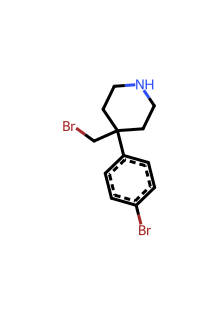 BrCC1(c2ccc(Br)cc2)CCNCC1